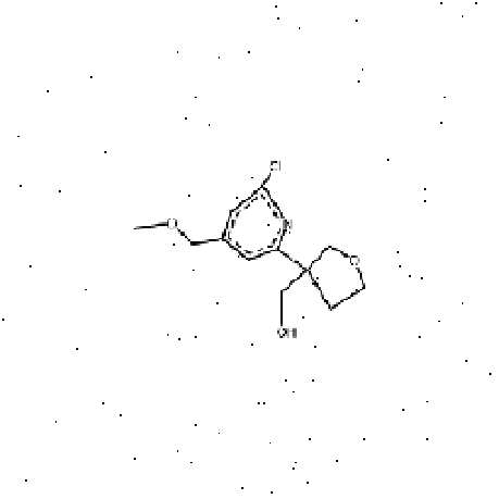 COCc1cc(Cl)nc(C2(CO)CCOC2)c1